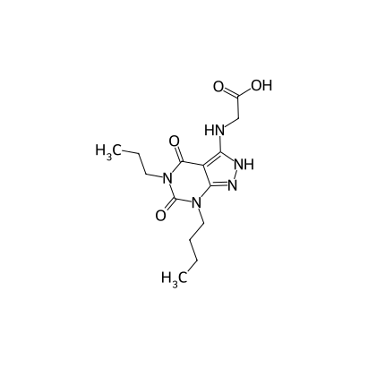 CCCCn1c(=O)n(CCC)c(=O)c2c(NCC(=O)O)[nH]nc21